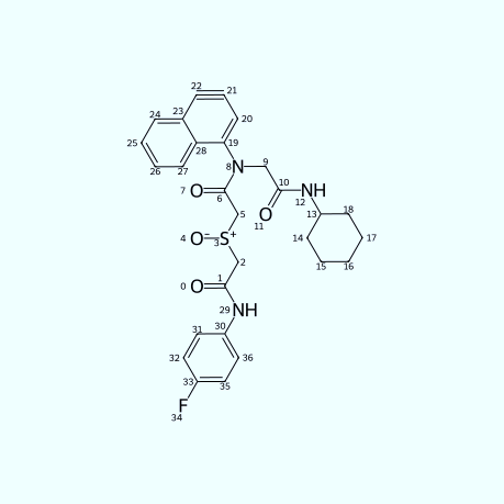 O=C(C[S+]([O-])CC(=O)N(CC(=O)NC1CCCCC1)c1cc#cc2ccccc12)Nc1ccc(F)cc1